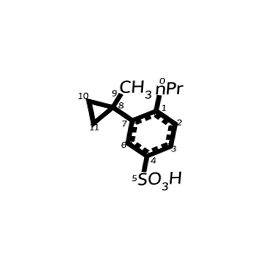 CCCc1ccc(S(=O)(=O)O)cc1C1(C)CC1